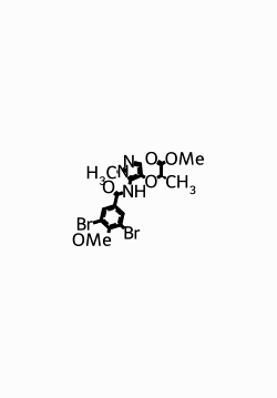 COC(=O)[C@@H](C)Oc1cnn(C)c1NC(=O)c1cc(Br)c(OC)c(Br)c1